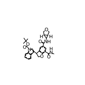 CNC(=O)c1cc(C(=O)NC2[C@H]3COC[C@@H]23)cc2c1OCC2c1cn(C(=O)OC(C)(C)C)c2ccccc12